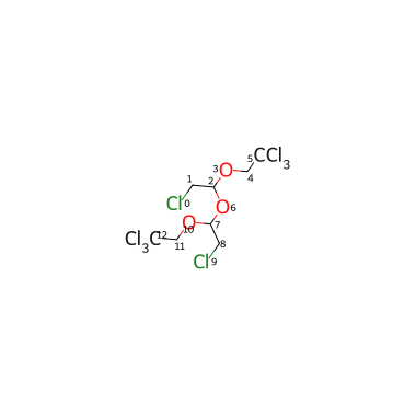 ClCC(OCC(Cl)(Cl)Cl)OC(CCl)OCC(Cl)(Cl)Cl